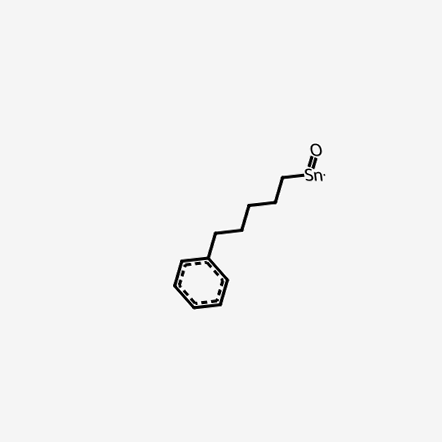 [O]=[Sn][CH2]CCCCc1ccccc1